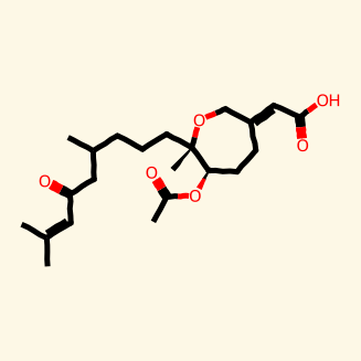 CC(=O)O[C@@H]1CCC(=CC(=O)O)CO[C@@]1(C)CCCC(C)CC(=O)C=C(C)C